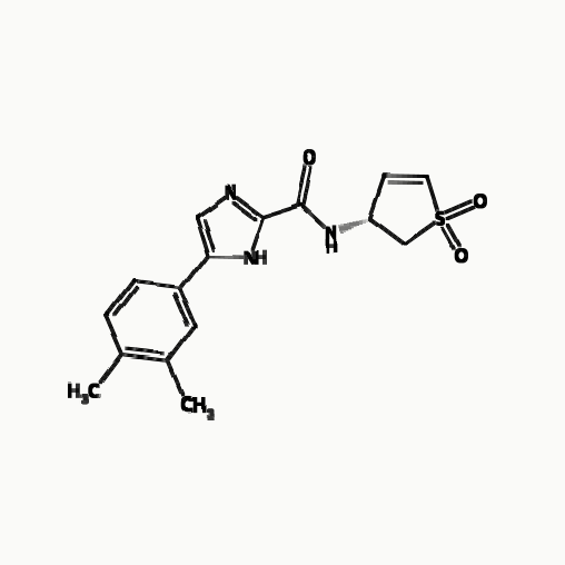 Cc1ccc(-c2cnc(C(=O)N[C@@H]3C=CS(=O)(=O)C3)[nH]2)cc1C